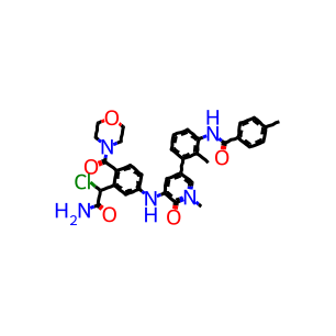 Cc1ccc(C(=O)Nc2cccc(-c3cc(Nc4ccc(C(=O)N5CCOCC5)c(C(Cl)C(N)=O)c4)c(=O)n(C)c3)c2C)cc1